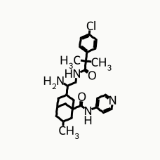 CC1CC2CC(C(N)CNC(=O)C(C)(C)c3ccc(Cl)cc3)CC(C(=O)Nc3ccncc3)(C1)C2